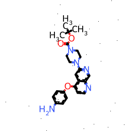 CC(C)(C)OC(=O)N1CCN(c2cc3c(Oc4ccc(N)cc4)ccnc3cn2)CC1